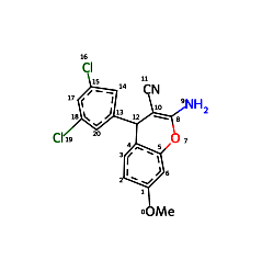 COc1ccc2c(c1)OC(N)=C(C#N)C2c1cc(Cl)cc(Cl)c1